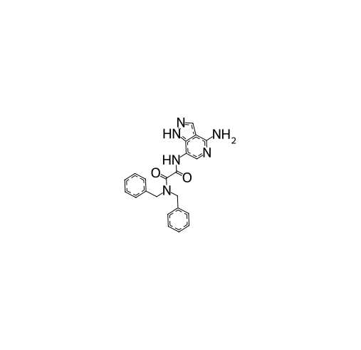 Nc1ncc(NC(=O)C(=O)N(Cc2ccccc2)Cc2ccccc2)c2[nH]ncc12